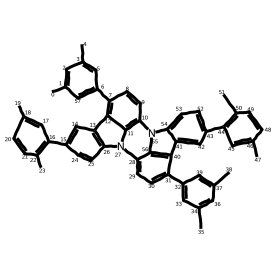 Cc1cc(C)cc(-c2ccc3c4c2c2cc(-c5cc(C)ccc5C)ccc2n4c2ccc(-c4cc(C)cc(C)c4)c4c5cc(-c6cc(C)ccc6C)ccc5n3c42)c1